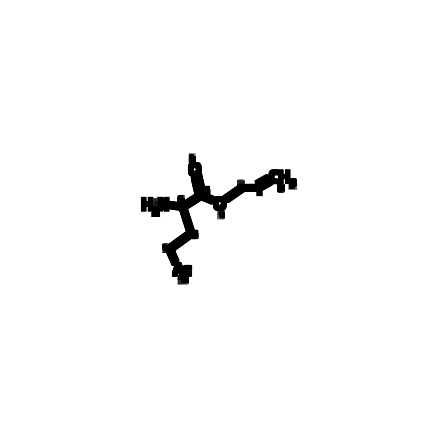 C=CCOC(=O)C(N)CCC(C)=O